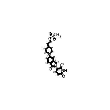 CS(=O)(=O)OCCC1CCN(c2ccc3c(c2)CN(C2CCC(=O)NC2=O)C3=O)CC1